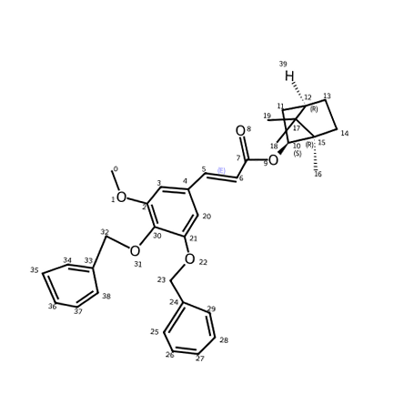 COc1cc(/C=C/C(=O)O[C@H]2C[C@H]3CC[C@]2(C)C3(C)C)cc(OCc2ccccc2)c1OCc1ccccc1